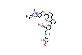 COc1nc(-c2cccc(-c3cccc(-c4ccc5[nH]c(CN(C)C)cc5c4)c3Cl)c2Cl)ccc1CNCC1CCC(=O)N1